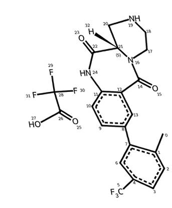 Cc1ccc(C(F)(F)F)cc1-c1ccc2c(c1)C(=O)N1CCNC[C@H]1C(=O)N2.O=C(O)C(F)(F)F